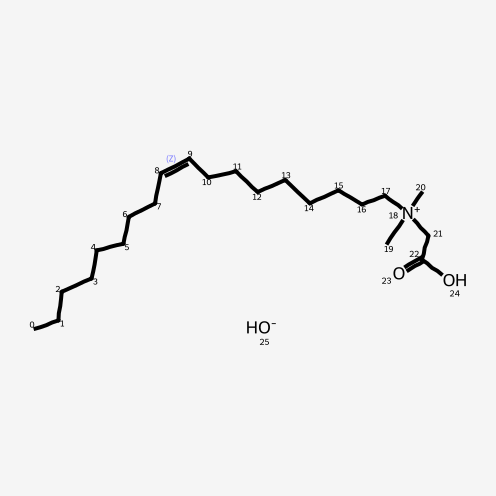 CCCCCCCC/C=C\CCCCCCCC[N+](C)(C)CC(=O)O.[OH-]